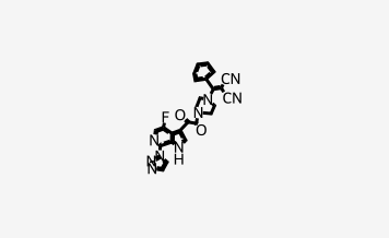 N#CC(C#N)=C(c1ccccc1)N1CCN(C(=O)C(=O)c2c[nH]c3c(-n4ccnn4)ncc(F)c23)CC1